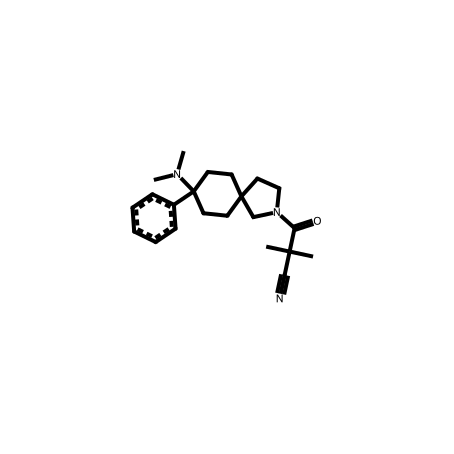 CN(C)C1(c2ccccc2)CCC2(CCN(C(=O)C(C)(C)C#N)C2)CC1